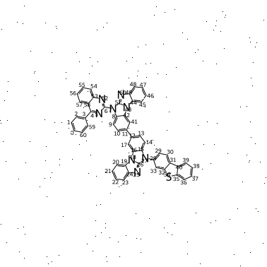 c1ccc(-c2nc(-n3c4ccc(-c5ccc6c(c5)n5c7ccccc7nc5n6-c5ccc6c(c5)sc5ccccc56)cc4n4c5ccccc5nc34)nc3ccccc23)cc1